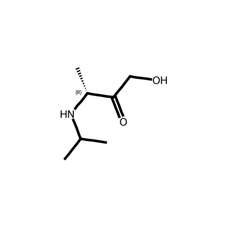 CC(C)N[C@H](C)C(=O)CO